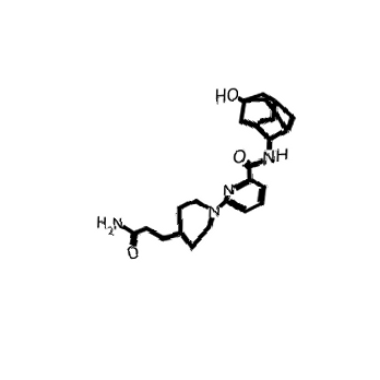 NC(=O)CCC1CCN(c2cccc(C(=O)NC3C4CC5CC3CC(O)(C5)C4)n2)CC1